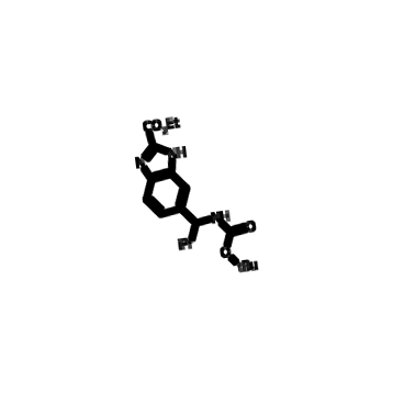 CCOC(=O)c1nc2ccc(C(NC(=O)OC(C)(C)C)C(C)C)cc2[nH]1